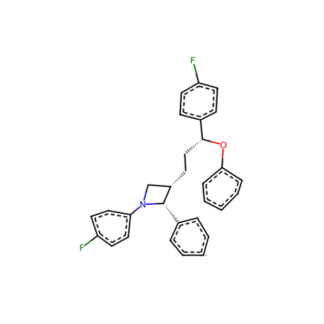 Fc1ccc([C@@H](CC[C@H]2CN(c3ccc(F)cc3)[C@H]2c2cc[c]cc2)Oc2ccccc2)cc1